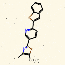 CCOC(=O)c1sc(-c2ccc(-c3cc4ccccc4s3)nc2)nc1C